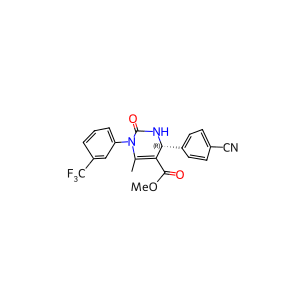 COC(=O)C1=C(C)N(c2cccc(C(F)(F)F)c2)C(=O)N[C@@H]1c1ccc(C#N)cc1